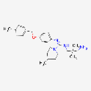 Cc1ccc(COc2ccc(/N=C(/NCC(C)(C)CN)N3CCC(C)CC3)cc2)cc1